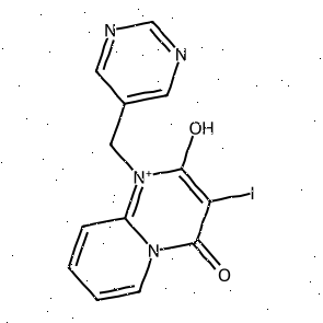 O=c1c(I)c(O)[n+](Cc2cncnc2)c2ccccn12